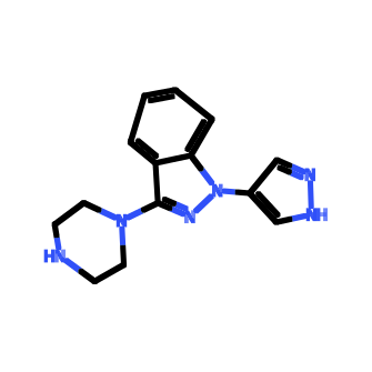 c1ccc2c(c1)c(N1CCNCC1)nn2-c1cn[nH]c1